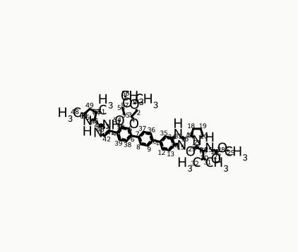 COCCOc1c(-c2ccc(-c3ccc4nc([C@@H]5CCCN5C(=O)[C@@H](NC(=O)OC)C(C)C)[nH]c4c3)cc2)ccc(-c2cnc([C@H]3N[C@H](C)C[C@@H]3C)[nH]2)c1OCCOC